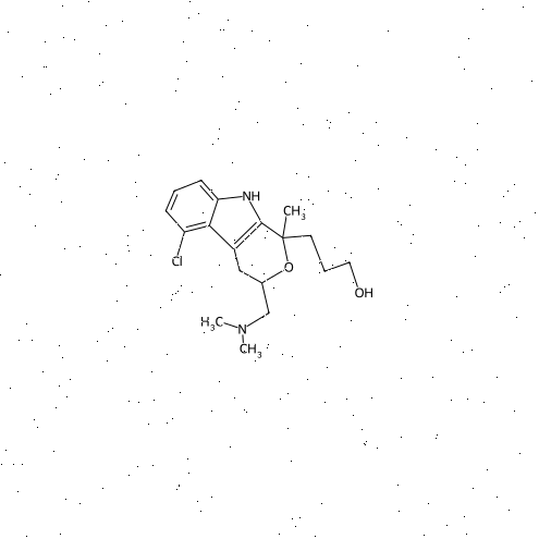 CN(C)CC1Cc2c([nH]c3cccc(Cl)c23)C(C)(CCCO)O1